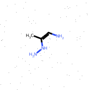 C/C(=C/N)NN